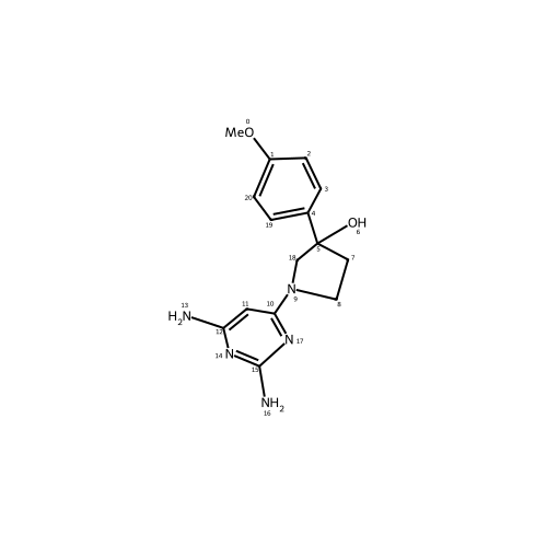 COc1ccc(C2(O)CCN(c3cc(N)nc(N)n3)C2)cc1